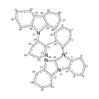 c1ccc(-n2c3ccccc3n3c4ccccc4nc23)c(-c2ncccc2-n2c3ccccc3c3ccccc32)c1